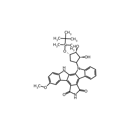 COc1ccc2[nH]c3c(c4c(c5c6ccccc6n(C6C[C@H](O[Si](C)(C)C(C)(C)C)[C@@H](O)[C@H]6O)c35)C(=O)NC4=O)c2c1